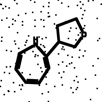 C1=CC=C(C2CCOC2)NC=C1